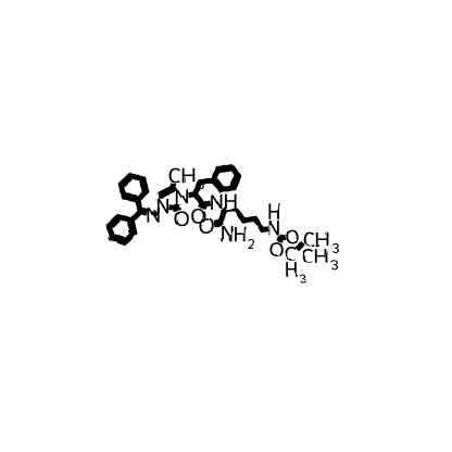 Cc1cn(N=C(c2ccccc2)c2ccccc2)c(=O)n1C(Cc1ccccc1)C(=O)N[C@@H](CCCCNC(=O)OC(C)(C)C)C(N)=O